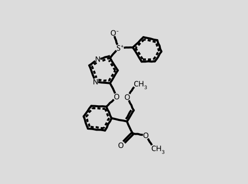 CO/C=C(/C(=O)OC)c1ccccc1Oc1cc([S+]([O-])c2ccccc2)ncn1